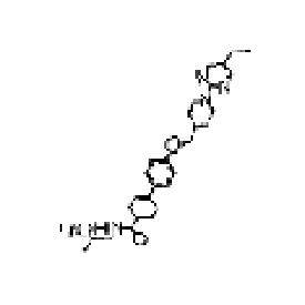 CCc1cnc(N2CCC(COc3ccc(C4=CCC(C(=O)NC[C@@H](C)O)CC4)cc3)CC2)nc1